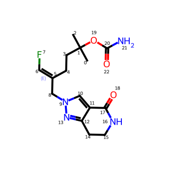 CC(C)(CC/C(=C\F)Cn1cc2c(n1)CCNC2=O)OC(N)=O